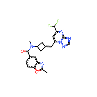 Cc1nc2cc(C(=O)N(C)C3CC(=Cc4cc(C(F)F)nc5ncnn45)C3)ccc2o1